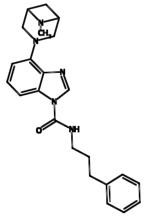 CN1C2CC1CN(c1cccc3c1ncn3C(=O)NCCCc1ccccc1)C2